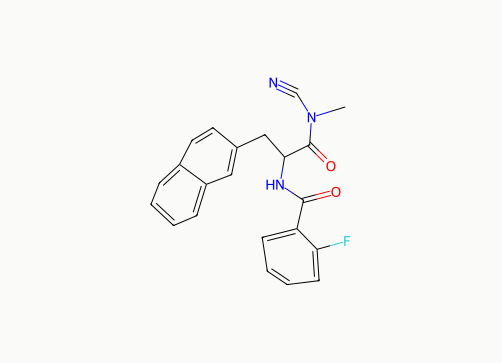 CN(C#N)C(=O)C(Cc1ccc2ccccc2c1)NC(=O)c1ccccc1F